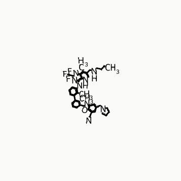 CCCCNCc1cnc2c(Nc3cccc(-c4cccc(-c5nc6cc(CN7CCCC7)cc(C#N)c6o5)c4C)c3C)nc(C(F)(F)F)nc2c1C